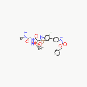 CC(C)CS(=O)(=O)C(C(=O)NCC(=O)NC1CC1)c1nc2cc(F)c(-c3ccc(NC(=O)OCc4ccccc4)cc3)cc2s1